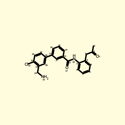 CC(=O)Cc1ccccc1NC(=O)c1cccc(-c2ccc(Cl)c(CN)c2)c1